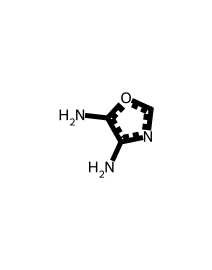 Nc1ncoc1N